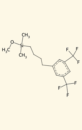 CO[Si](C)(C)CCCCc1cc(C(F)(F)F)cc(C(F)(F)F)c1